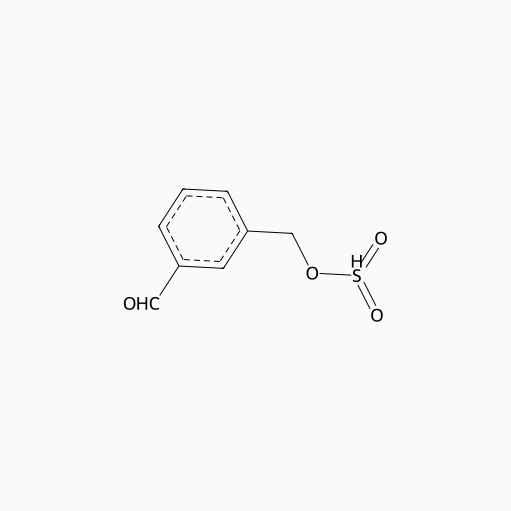 O=Cc1cccc(CO[SH](=O)=O)c1